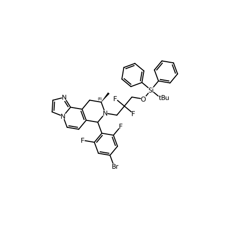 C[C@@H]1Cc2c(ccn3ccnc23)C(c2c(F)cc(Br)cc2F)N1CC(F)(F)CO[Si](c1ccccc1)(c1ccccc1)C(C)(C)C